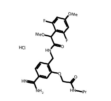 COc1cc(F)c(C(OC)C(=O)NCc2ccc(C(=N)N)cc2OCC(=O)NC(C)C)c(F)c1.Cl